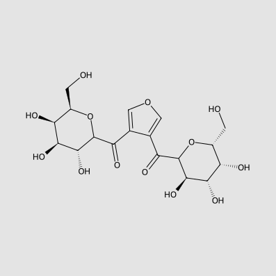 O=C(c1cocc1C(=O)C1O[C@H](CO)[C@H](O)[C@H](O)[C@H]1O)C1O[C@H](CO)[C@H](O)[C@H](O)[C@H]1O